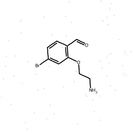 NCCOc1cc(Br)ccc1C=O